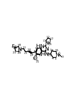 CCN1CCC(NC2=NC(N3CCCC3)Nc3cc(C#CCCN4CC[C@H](F)C4)c(OC)cc32)CC1